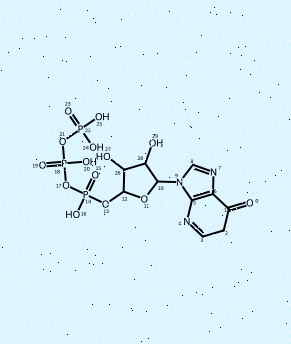 O=C1CC=Nc2c1ncn2C1OC(OP(=O)(O)OP(=O)(O)OP(=O)(O)O)C(O)C1O